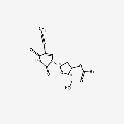 CC#Cc1cn([C@@H]2CC(OC(=O)C(C)C)[C@H](CO)O2)c(=O)[nH]c1=O